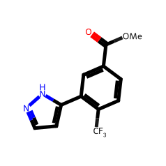 COC(=O)c1ccc(C(F)(F)F)c(-c2ccn[nH]2)c1